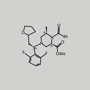 COC(=O)[C@H]1CN([C@H](CC2CCCO2)c2c(F)cccc2F)C[C@@H](C)N1C(=O)C(C)C